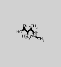 CC(NN(C)C)C(C)C(=O)O